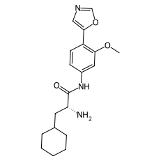 COc1cc(NC(=O)[C@H](N)CC2CCCCC2)ccc1-c1cnco1